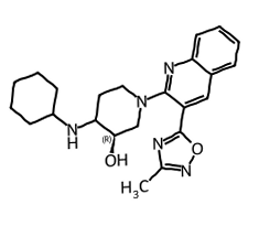 Cc1noc(-c2cc3ccccc3nc2N2CCC(NC3CCCCC3)[C@H](O)C2)n1